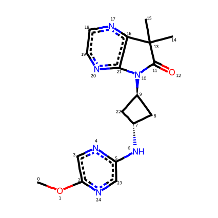 COc1cnc(N[C@H]2C[C@H](N3C(=O)C(C)(C)c4nccnc43)C2)cn1